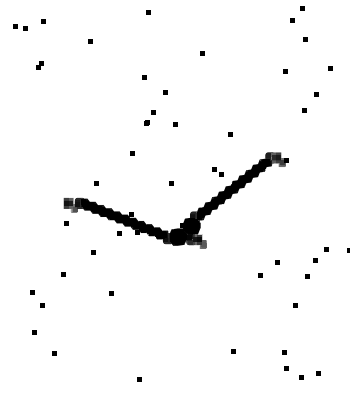 CCCCCCCCCCCCCCCCCCCCCCOc1ccc(N(C)c2ccc(OCCCCCCCCCCCCCCCCCCCCCC)cc2)cc1